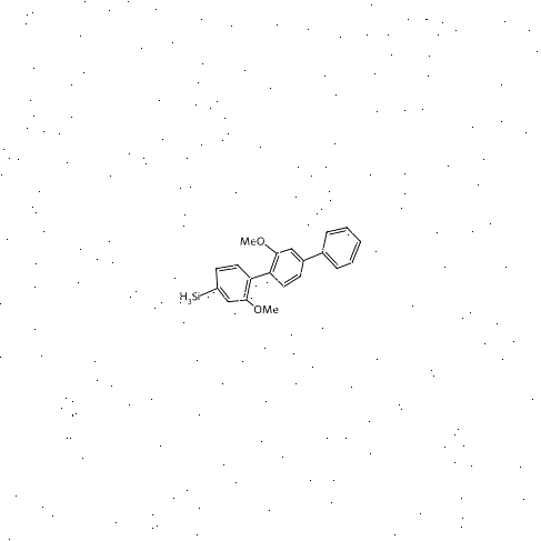 COc1cc([SiH3])ccc1-c1ccc(-c2ccccc2)cc1OC